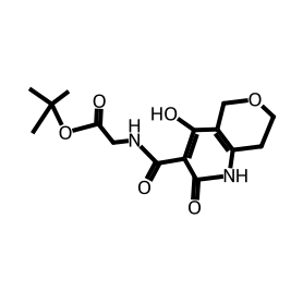 CC(C)(C)OC(=O)CNC(=O)c1c(O)c2c([nH]c1=O)CCOC2